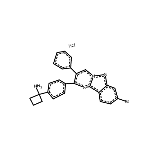 Cl.NC1(c2ccc(-c3nc4c5ccc(Br)cc5nn4cc3-c3ccccc3)cc2)CCC1